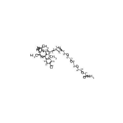 Cc1c(C#Cc2cnn(CCOCCOCCOCCOCC(N)=O)c2)sc2c1C(c1ccc(Cl)cc1)=N[C@@H](C)c1nnc(C)n1-2